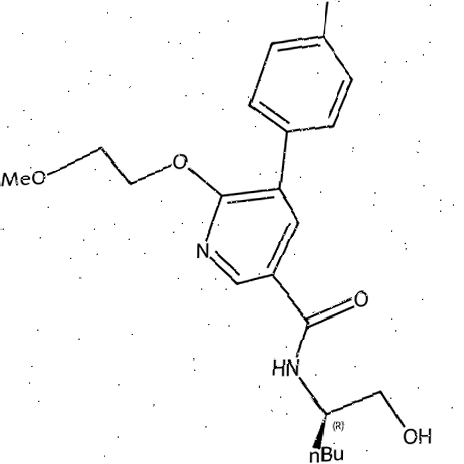 CCCC[C@H](CO)NC(=O)c1cnc(OCCOC)c(-c2ccc(Cl)cc2)c1